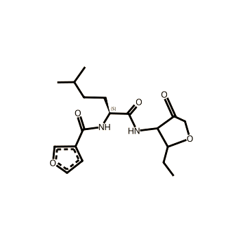 CCC1OCC(=O)C1NC(=O)[C@H](CCC(C)C)NC(=O)c1ccoc1